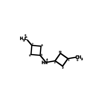 CC1CC(NC2CC(C)C2)C1